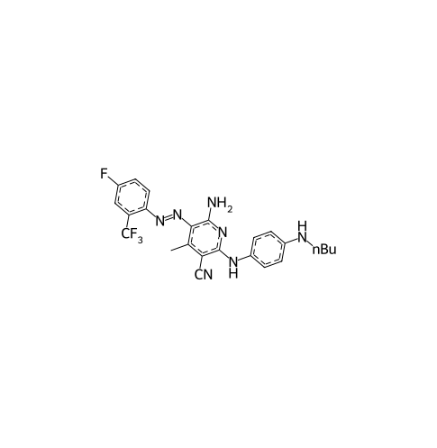 CCCCNc1ccc(Nc2nc(N)c(/N=N/c3ccc(F)cc3C(F)(F)F)c(C)c2C#N)cc1